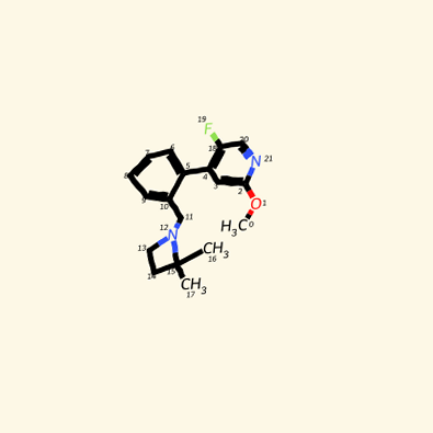 COc1cc(-c2ccccc2CN2CCC2(C)C)c(F)cn1